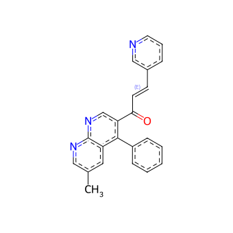 Cc1cnc2ncc(C(=O)/C=C/c3cccnc3)c(-c3ccccc3)c2c1